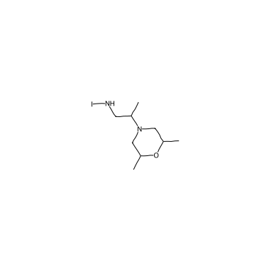 CC1CN(C(C)CNI)CC(C)O1